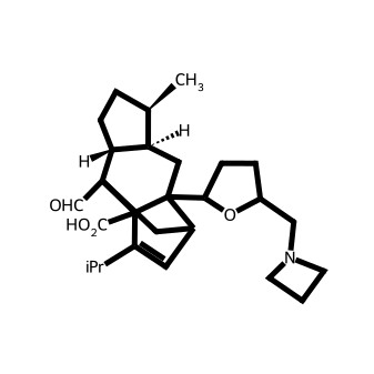 CC(C)C1=CC2CC3(C=O)[C@@H]4CC[C@@H](C)[C@H]4CC2(C2CCC(CN4CCC4)O2)C13C(=O)O